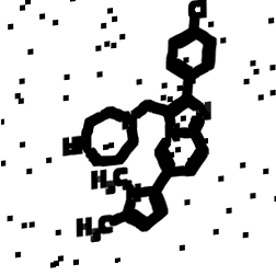 Cc1ccc(-c2ccc3nc(-c4ccc(Cl)cc4)c(CN4CCCNCC4)n3c2)n1C